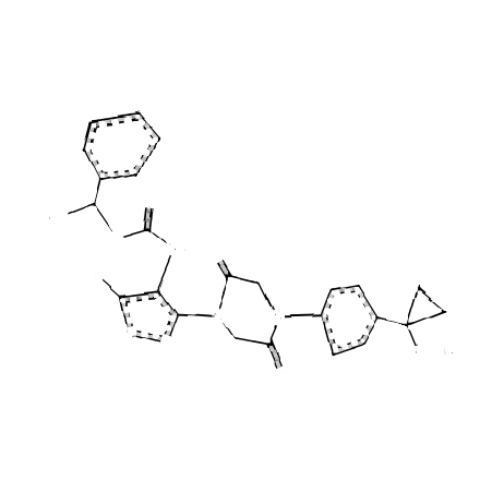 Cc1noc(N2CC(=O)N(c3ccc(C4(C(=O)O)CC4)cc3)CC2=O)c1NC(=O)OC(C)c1ccccc1